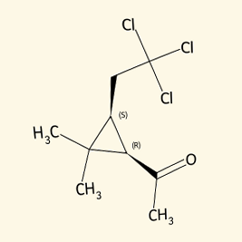 CC(=O)[C@@H]1[C@H](CC(Cl)(Cl)Cl)C1(C)C